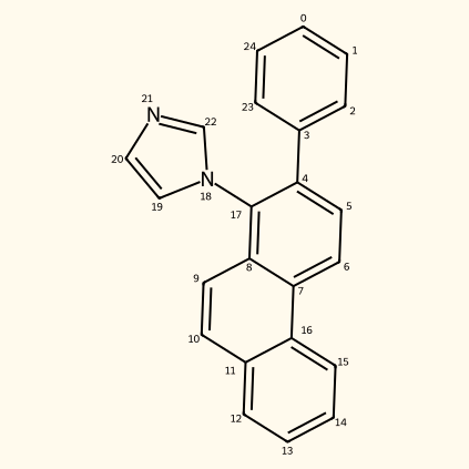 c1ccc(-c2ccc3c(ccc4ccccc43)c2-n2ccnc2)cc1